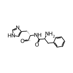 N[C@@H](Cc1ccccc1)C(=O)N[C@H]([C]=O)Cc1c[nH]cn1